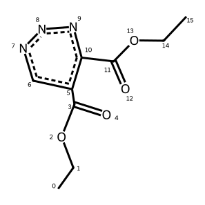 CCOC(=O)c1cnnnc1C(=O)OCC